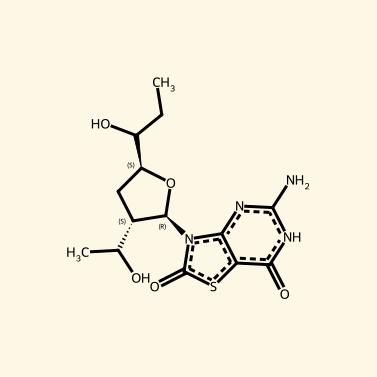 CCC(O)[C@@H]1C[C@@H](C(C)O)[C@H](n2c(=O)sc3c(=O)[nH]c(N)nc32)O1